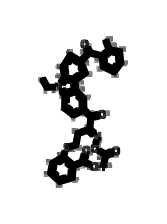 CCn1c2ccc(C(=O)/C(CCSc3ccccc3C(=O)O)=N/OC(C)=O)cc2c2cc(C(=O)c3ccccc3C)ccc21